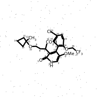 COc1c[nH]c(=O)c(C(CCOC2(C)CCC2)C(=O)O)c1-c1cc(Cl)ccc1OCC(F)(F)F